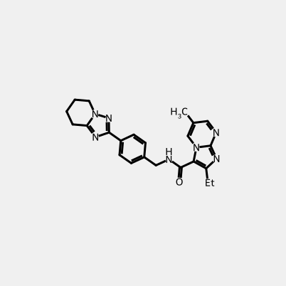 CCc1nc2ncc(C)cn2c1C(=O)NCc1ccc(-c2nc3n(n2)CCCC3)cc1